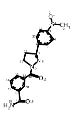 C[S+]([O-])c1ccc(C2=NN(C(=O)c3cccc(C(N)=O)c3)CC2)cc1